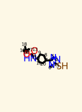 Cn1c(S)nnc1C1CCC(NC(=O)OC(C)(C)C)CC1